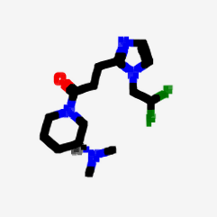 CN(C)[C@@H]1CCCN(C(=O)CCc2nccn2CC(F)F)C1